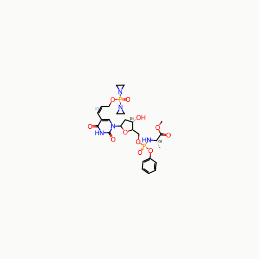 COC(=O)[C@H](C)NP(=O)(OCC1OC(n2cc(/C=C\COP(=O)(N3CC3)N3CC3)c(=O)[nH]c2=O)C[C@@H]1O)Oc1ccccc1